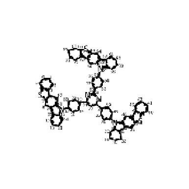 c1ccc2c(c1)sc1cc3c4ccccc4n(-c4ccc(-c5cc(-c6ccc(-n7c8ccccc8c8cc9sc%10ccccc%10c9cc87)cc6)nc(-c6ccc(-n7c8ccccc8c8cc9sc%10ccccc%10c9cc87)cc6)n5)cc4)c3cc12